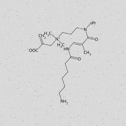 C=C(C[N+](C)(C)CCCN(CCC)C(=O)C(C)=CNC(=O)CCCCCN)C(=O)[O-]